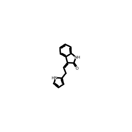 O=C1Nc2ccccc2C1=CCc1ccc[nH]1